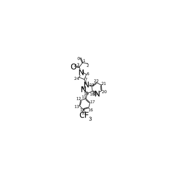 C=C(C)C(=O)N1CC(n2nc(-c3ccc(C(F)(F)F)cc3)c3ncccc32)C1